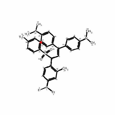 CCN(CC)c1ccc(C(C=C(c2ccc(N(C)C)cc2)c2ccc(N(C)C)cc2)S(=O)(=O)c2ccc(C)cc2)c(C)c1